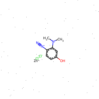 CN(C)c1cc(O)ccc1[N+]#N.[Cl-].[Cl-].[Zn+]